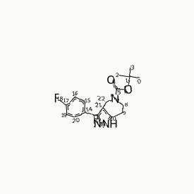 CC(C)(C)OC(=O)N1CCc2[nH]nc(-c3ccc(F)cc3)c2C1